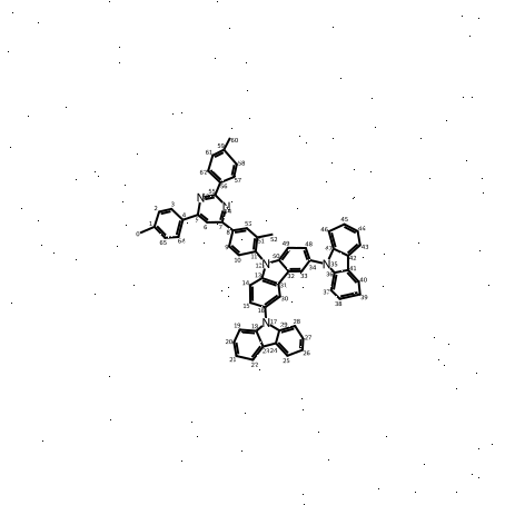 Cc1ccc(-c2cc(-c3ccc(-n4c5ccc(-n6c7ccccc7c7ccccc76)cc5c5cc(-n6c7ccccc7c7ccccc76)ccc54)c(C)c3)nc(-c3ccc(C)cc3)n2)cc1